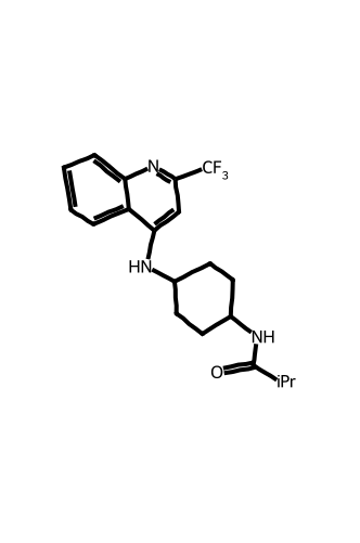 CC(C)C(=O)NC1CCC(Nc2cc(C(F)(F)F)nc3ccccc23)CC1